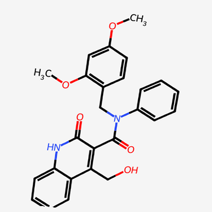 COc1ccc(CN(C(=O)c2c(CO)c3ccccc3[nH]c2=O)c2ccccc2)c(OC)c1